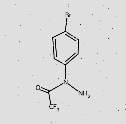 NN(C(=O)C(F)(F)F)c1ccc(Br)cc1